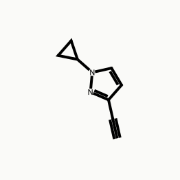 C#Cc1ccn(C2CC2)n1